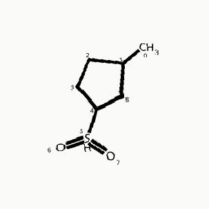 CC1CCC([SH](=O)=O)C1